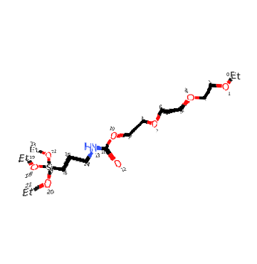 CCOCCOCCOCCOC(=O)NCCC[Si](OCC)(OCC)OCC